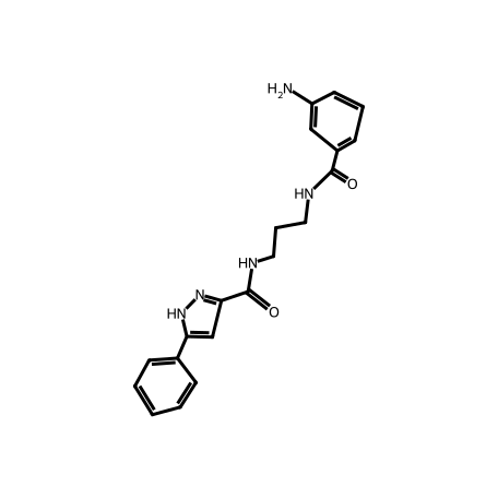 Nc1cccc(C(=O)NCCCNC(=O)c2cc(-c3ccccc3)[nH]n2)c1